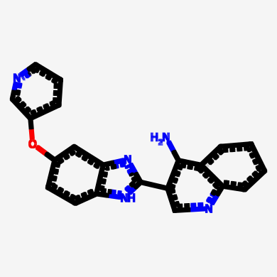 Nc1c(-c2nc3cc(Oc4cccnc4)ccc3[nH]2)cnc2ccccc12